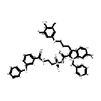 Cc1cc(OCCCc2c(C(=O)NS(=O)(=O)CCNC(=O)c3cccc(Oc4ccccc4)c3)n(Cc3cccnc3)c3cc(Cl)ccc23)cc(C)c1Cl